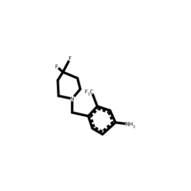 Nc1ccc(CN2CCC(F)(F)CC2)c(C(F)(F)F)c1